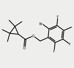 Cc1c(F)c(F)c(COC(=O)C2C(C)(C)C2(C)C)c(Br)c1F